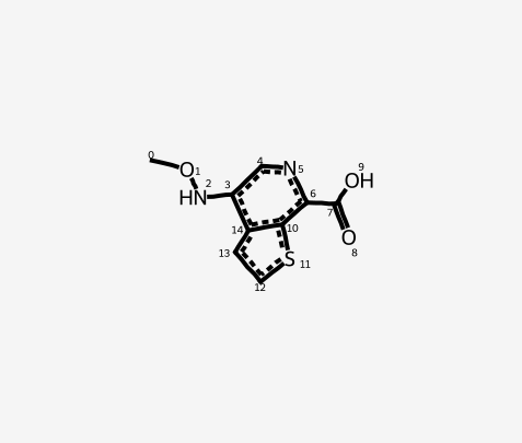 CONc1cnc(C(=O)O)c2sccc12